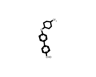 O=Cc1ccc(-c2ccc(OC3CCC(C(F)(F)F)CC3)cc2)cc1